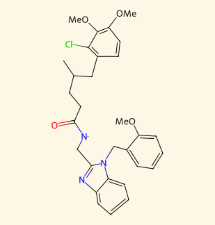 COc1ccccc1Cn1c(C[N]C(=O)CCC(C)Cc2ccc(OC)c(OC)c2Cl)nc2ccccc21